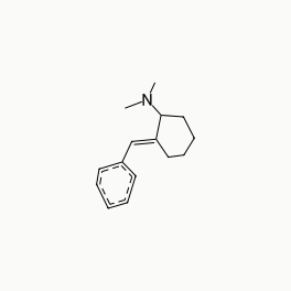 CN(C)C1CCCCC1=Cc1ccccc1